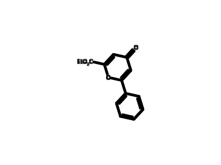 CCOC(=O)c1cc(=O)cc(-c2ccccc2)o1